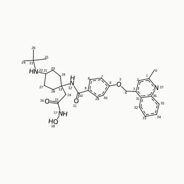 Cc1cc(COc2ccc(C(=O)NC3(CC(=O)NO)CCC(NC(C)(C)C)CC3)cc2)c2ccccc2n1